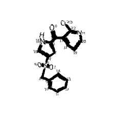 O=C(c1cc(S(=O)(=O)Cc2ccccc2)c[nH]1)c1cccnc1Cl